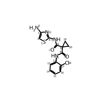 Nc1csc(NC(=O)C2(C(=O)Nc3ccccc3Cl)CC2)n1